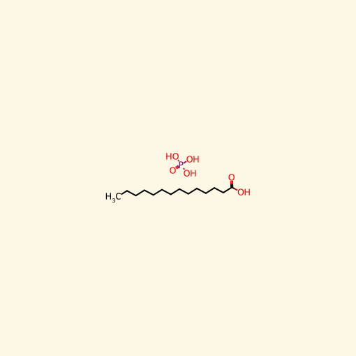 CCCCCCCCCCCCCC(=O)O.O=P(O)(O)O